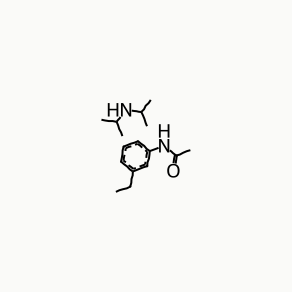 CC(C)NC(C)C.CCc1cccc(NC(C)=O)c1